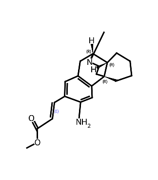 COC(=O)/C=C/c1cc2c(cc1N)[C@@]13CCCC[C@H]1[C@@H](C2)N(C)CC3